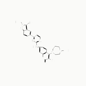 CC(=O)c1c(N2CCCN(C)CC2)c2ccc(Nc3nccc(-c4ccc5nn(C)c(C(C)C)c5c4)n3)cc2oc1=O